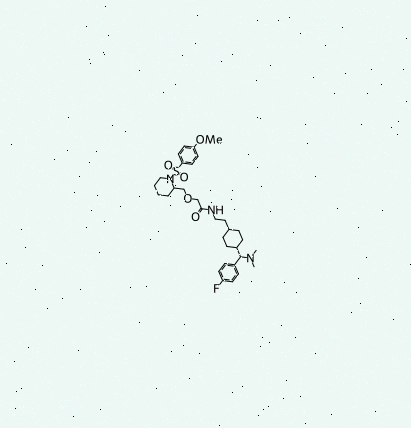 COc1ccc(S(=O)(=O)N2CCCCC2COCC(=O)NCCC2CCC(C(c3ccc(F)cc3)N(C)C)CC2)cc1